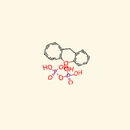 O=P(O)(O)OP(=O)(O)O.c1ccc2c(c1)Cc1ccccc1O2